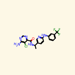 CC(NC(=O)c1ncnc(N)c1Cl)c1ccc(Nc2cccc(C(F)(F)F)c2)nc1